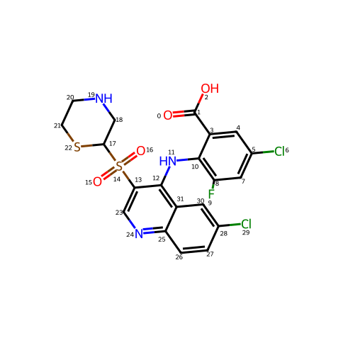 O=C(O)c1cc(Cl)cc(F)c1Nc1c(S(=O)(=O)C2CNCCS2)cnc2ccc(Cl)cc12